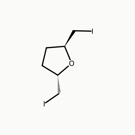 IC[C@@H]1CC[C@@H](CI)O1